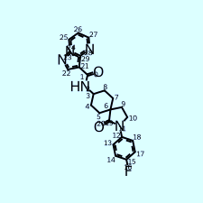 O=C(NC1CCC2(CC1)CCN(c1ccc(F)cc1)C2=O)c1cnn2cccnc12